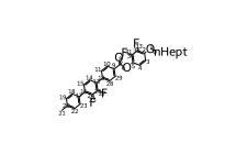 CCCCCCCOc1ccc(OC(=O)c2ccc(-c3ccc(-c4ccc(C)cc4)c(F)c3F)cc2)c(F)c1F